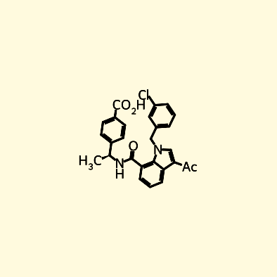 CC(=O)c1cn(Cc2cccc(Cl)c2)c2c(C(=O)N[C@@H](C)c3ccc(C(=O)O)cc3)cccc12